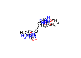 COC(=O)N[C@H](C(=O)N1CCC[C@H]1c1nc2ccc(C#Cc3ccc(-c4cnc([C@@H]5[C@@H](O)CCN5C(=O)[C@@H](N)C(C)C)[nH]4)cc3)cc2[nH]1)C(C)C